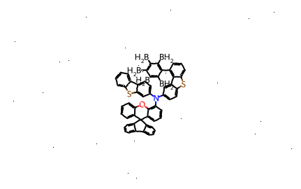 Bc1c(B)c(B)c(-c2cccc3sc4ccc(N(c5ccc6c(c5)sc5ccccc56)c5cccc6c5Oc5ccccc5C65c6ccccc6-c6ccccc65)cc4c23)c(B)c1B